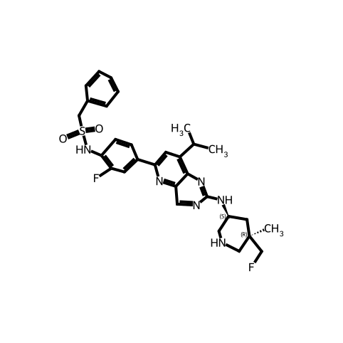 CC(C)c1cc(-c2ccc(NS(=O)(=O)Cc3ccccc3)c(F)c2)nc2cnc(N[C@@H]3CNC[C@](C)(CF)C3)nc12